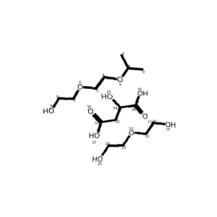 CC(C)OCCOCCO.O=C(O)CC(O)C(=O)O.OCCOCCO